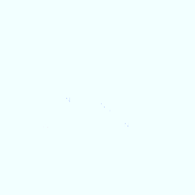 CN1CCCC/C1=N\c1ccccc1N1CCOCC1